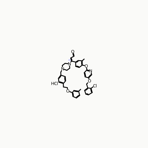 Cc1cccc(OCCc2ccc(CN3CCN(/C(=C/C=O)c4ccc(Oc5ccc(OCc6ccccc6Cl)cn5)c(C)c4)CC3)cc2)c1.Cl